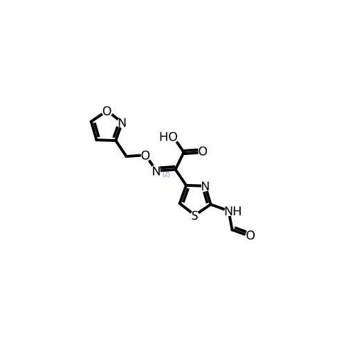 O=CNc1nc(/C(=N/OCc2ccon2)C(=O)O)cs1